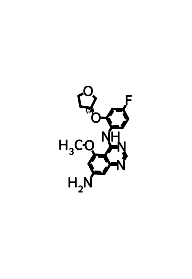 COc1cc(N)cc2ncnc(Nc3ccc(F)cc3O[C@H]3CCOC3)c12